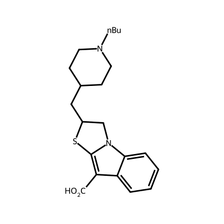 CCCCN1CCC(CC2Cn3c(c(C(=O)O)c4ccccc43)S2)CC1